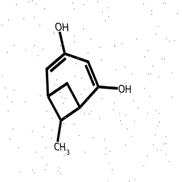 CC1C2C=C(O)C=C(O)C1C2